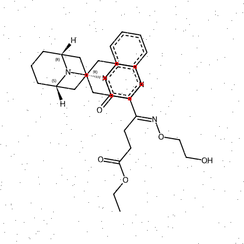 CCOC(=O)CCC(=NOCCO)c1nc2ccccc2n([C@H]2C[C@H]3CCC[C@@H](C2)N3C2CC3CCCC(C3)C2)c1=O